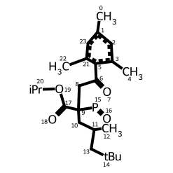 Cc1cc(C)c(C(=O)CC(CC(C)CC(C)(C)C)(P=O)C(=O)OC(C)C)c(C)c1